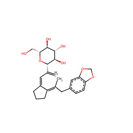 C=C(/C=C1/CCC/C1=C(/C)Cc1ccc2c(c1)OCO2)[C@@H]1O[C@H](CO)[C@@H](O)[C@H](O)[C@H]1O